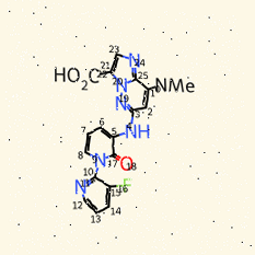 CNc1cc(Nc2cccn(-c3ncccc3F)c2=O)nn2c(C(=O)O)cnc12